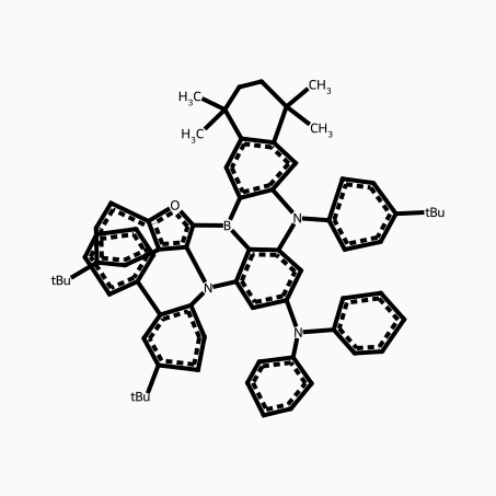 CC(C)(C)c1ccc(N2c3cc4c(cc3B3c5oc6ccc(C(C)(C)C)cc6c5N(c5ccc(C(C)(C)C)cc5-c5ccccc5)c5cc(N(c6ccccc6)c6ccccc6)cc2c53)C(C)(C)CCC4(C)C)cc1